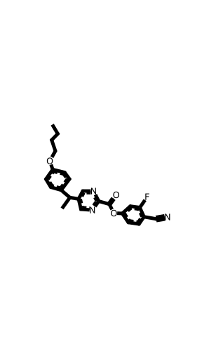 CCCCOc1ccc(C(C)c2cnc(C(=O)Oc3ccc(C#N)c(F)c3)nc2)cc1